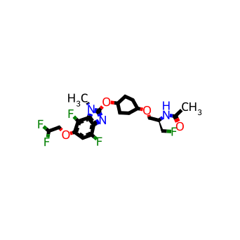 CC(=O)N[C@@H](CF)COC1CCC(Oc2nc3c(F)cc(OCC(F)F)c(F)c3n2C)CC1